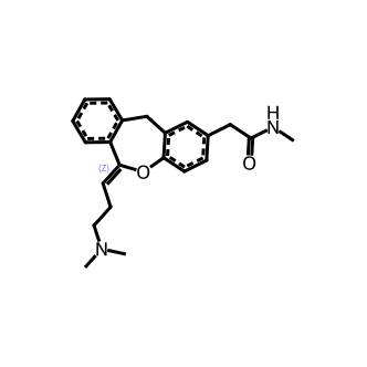 CNC(=O)Cc1ccc2c(c1)Cc1ccccc1/C(=C/CCN(C)C)O2